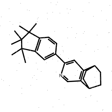 CC1(C)c2ccc(-c3cc4c(cn3)C3CCC4CC3)cc2C(C)(C)C1(C)C